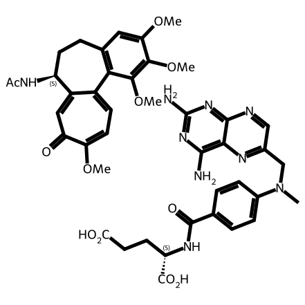 CN(Cc1cnc2nc(N)nc(N)c2n1)c1ccc(C(=O)N[C@@H](CCC(=O)O)C(=O)O)cc1.COc1cc2c(c(OC)c1OC)-c1ccc(OC)c(=O)cc1[C@@H](NC(C)=O)CC2